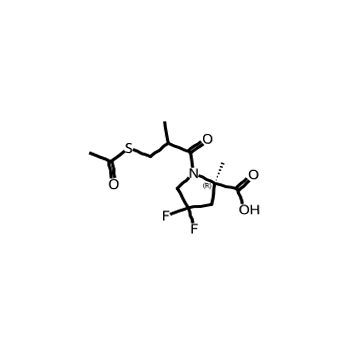 CC(=O)SCC(C)C(=O)N1CC(F)(F)C[C@]1(C)C(=O)O